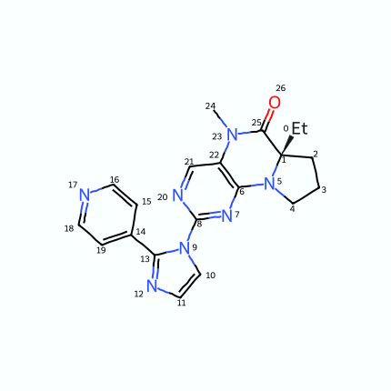 CC[C@@]12CCCN1c1nc(-n3ccnc3-c3ccncc3)ncc1N(C)C2=O